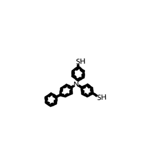 Sc1ccc(N(c2ccc(S)cc2)c2ccc(-c3ccccc3)cc2)cc1